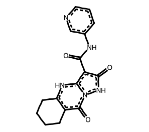 O=C(Nc1cccnc1)c1c(=O)[nH]n2c(=O)c3c([nH]c12)CCCC3